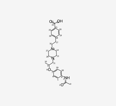 CC(=O)Nc1ccc(OC(C)CN2CCN(CCc3ccc(C(=O)O)cc3)CC2)cc1